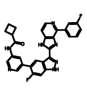 O=C(Nc1cncc(-c2cc3c(-c4nc5c(-c6cccc(F)c6)nccc5[nH]4)n[nH]c3cc2F)c1)C1CCC1